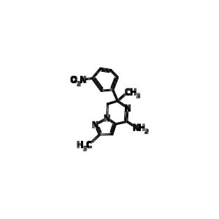 Cc1cc2n(n1)CC(C)(c1cccc([N+](=O)[O-])c1)N=C2N